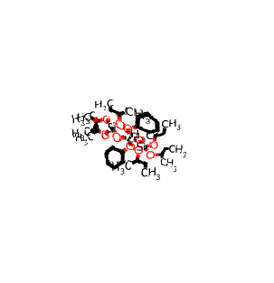 CCC(C)O[Si](OC(C)CC)(OC(C)CC)[O][Zr]([O]C1CCCCC1)([O]C1CCCCC1)[O][Si](OC(C)CC)(OC(C)CC)OC(C)CC